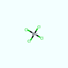 [Cl][Ru-]([Cl])([Cl])[Cl]